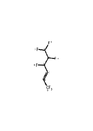 FC(F)C(F)C(F)C=CC(F)(F)F